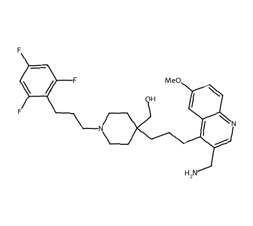 COc1ccc2ncc(CN)c(CCCC3(CO)CCN(CCCc4c(F)cc(F)cc4F)CC3)c2c1